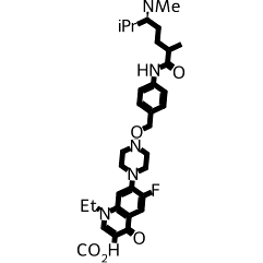 CCn1cc(C(=O)O)c(=O)c2cc(F)c(N3CCN(OCc4ccc(NC(=O)C(C)CC[C@@H](NC)C(C)C)cc4)CC3)cc21